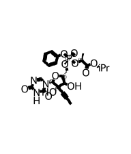 CC#C[C@@]1(O)C(O)[C@@H](CO[P@](=O)(Oc2ccccc2)O[C@@H](C)C(=O)OC(C)C)O[C@H]1n1cnc(=O)[nH]c1=O